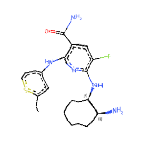 Cc1cc(Nc2nc(N[C@@H]3CCCC[C@@H]3N)c(F)cc2C(N)=O)cs1